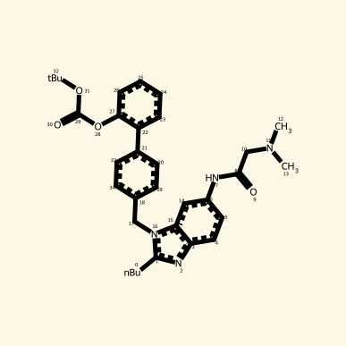 CCCCc1nc2ccc(NC(=O)CN(C)C)cc2n1Cc1ccc(-c2ccccc2OC(=O)OC(C)(C)C)cc1